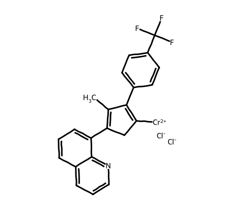 CC1=C(c2cccc3cccnc23)C[C]([Cr+2])=C1c1ccc(C(F)(F)F)cc1.[Cl-].[Cl-]